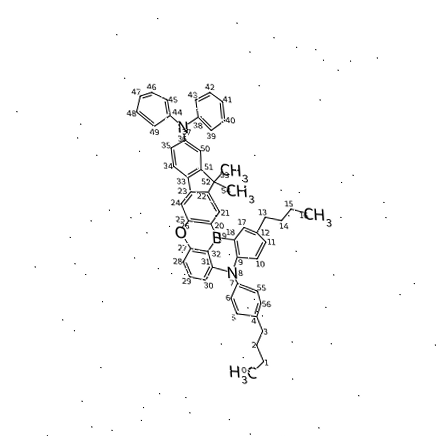 CCCCc1ccc(N2c3ccc(CCCC)cc3B3c4cc5c(cc4Oc4cccc2c43)-c2ccc(N(c3ccccc3)c3ccccc3)cc2C5(C)C)cc1